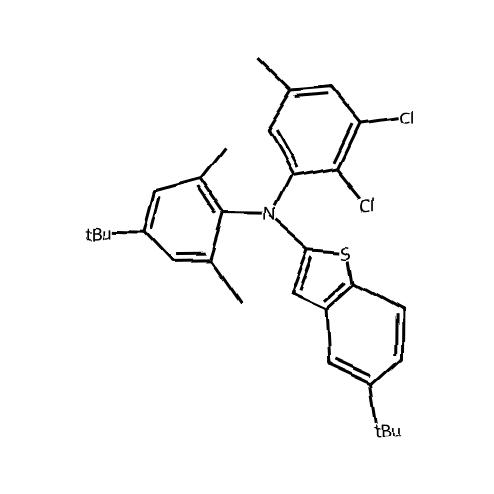 Cc1cc(Cl)c(Cl)c(N(c2cc3cc(C(C)(C)C)ccc3s2)c2c(C)cc(C(C)(C)C)cc2C)c1